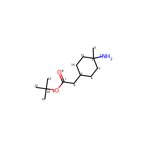 CC1(N)CCC(CC(=O)OC(C)(C)C)CC1